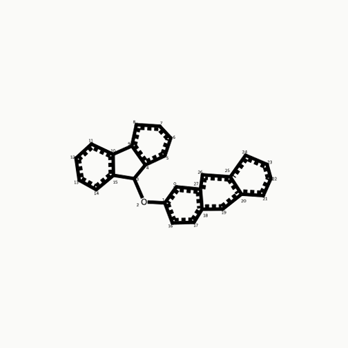 [c]1c(OC2c3ccccc3-c3ccccc32)ccc2cc3ccccc3cc12